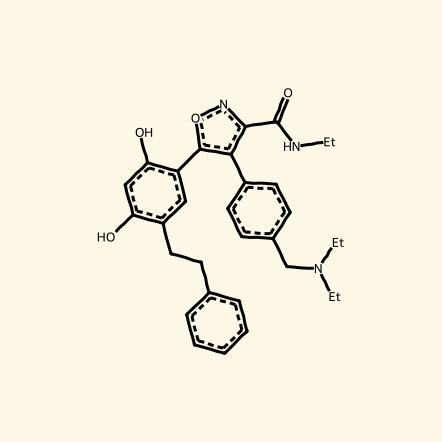 CCNC(=O)c1noc(-c2cc(CCc3ccccc3)c(O)cc2O)c1-c1ccc(CN(CC)CC)cc1